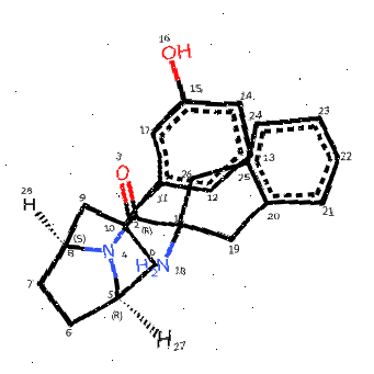 NC1(C(=O)N2[C@@H]3CC[C@H]2C[C@@H](c2cccc(O)c2)C3)Cc2ccccc2C1